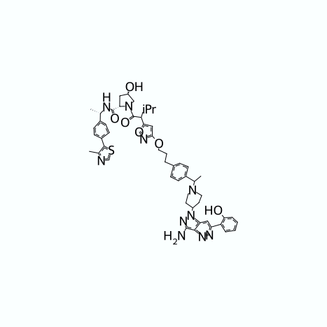 Cc1ncsc1-c1ccc([C@H](C)NC(=O)[C@@H]2C[C@@H](O)CN2C(=O)C(c2cc(OCCCc3ccc(C(C)N4CCC(n5nc(N)c6nnc(-c7ccccc7O)cc65)CC4)cc3)no2)C(C)C)cc1